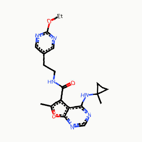 CCOc1ncc(CCNC(=O)c2c(C)oc3ncnc(NC4(C)CC4)c23)cn1